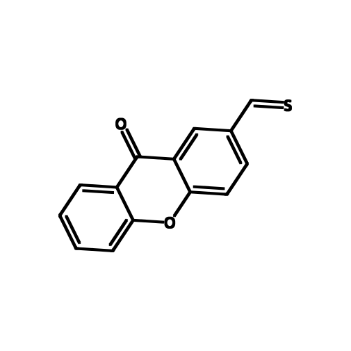 O=c1c2ccccc2oc2ccc(C=S)cc12